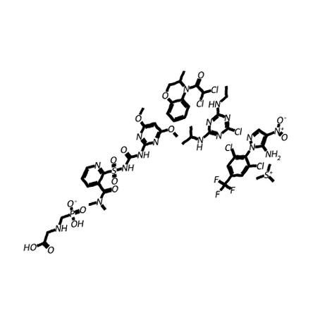 CC1COc2ccccc2N1C(=O)C(Cl)Cl.CCNc1nc(Cl)nc(NC(C)C)n1.COc1cc(OC)nc(NC(=O)NS(=O)(=O)c2ncccc2C(=O)N(C)C)n1.C[S+](C)C.Nc1c([N+](=O)[O-])cnn1-c1c(Cl)cc(C(F)(F)F)cc1Cl.O=C(O)CNCP(=O)([O-])O